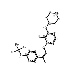 CC(=NOc1ncnc(OC2CCNCC2)c1C)c1ccc(OC(F)(F)F)cc1